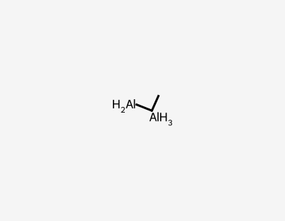 C[CH2][AlH2].[AlH3]